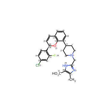 Cc1nc(CN2CCC(c3cccc4c3O[C@@H](c3ccc(Cl)cc3F)C=C4)CC2)[nH]c1C(=O)O